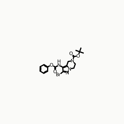 CC(C)(C)OC(=O)N1CCn2nc(Br)c(NC(=O)Oc3ccccc3)c2C1